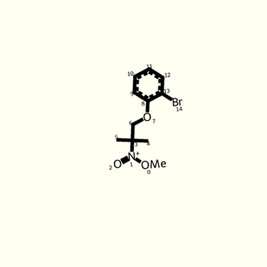 CO[N+](=O)C(C)(C)COc1ccccc1Br